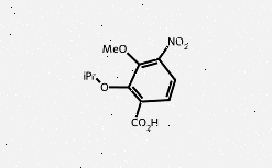 COc1c([N+](=O)[O-])ccc(C(=O)O)c1OC(C)C